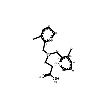 Cc1cccnc1CN(CCC(=O)O)Cc1ncccc1C